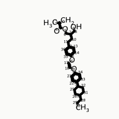 C=C(C)C(=O)OCC(CO)CCc1ccc(O/C=C\Oc2ccc(C3CCC(CCC)CC3)cc2)cc1